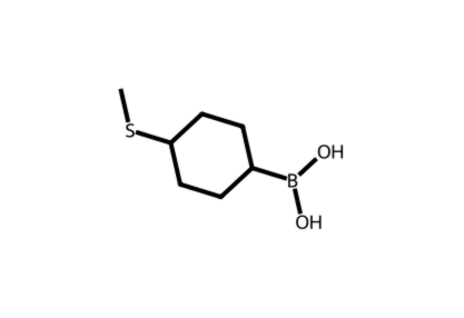 CSC1CCC(B(O)O)CC1